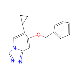 c1ccc(COc2cc3nncn3cc2C2CC2)cc1